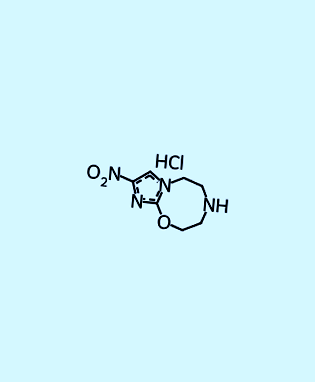 Cl.O=[N+]([O-])c1cn2c(n1)OCCNCC2